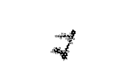 CC[C@@]1(O)C(=O)OCc2c1cc1n(c2=O)Cc2c-1nc1cc(F)c(C)c3c1c2[C@@H](NC(=O)CCCCCNC(=O)CNC(=O)C(Cc1ccccc1)NC(=O)CNC(=O)CNC(=O)OC(C)(C)C)CC3